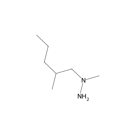 CCCC(C)CN(C)N